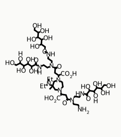 CCN(CC)C1(C)CN(C(CC(=O)N(CCN)CCNC(=O)C(O)C(O)C(O)C(O)CO)C(=O)O)CCN(C(CC(=O)N(CCNOCC(O)C(O)C(O)C(O)CO)CCNC(=O)C(O)C(O)C(O)C(O)CO)C(=O)O)C1